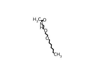 CCCCCCCOCCOCCNC(C)=O